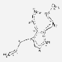 C=CCc1c[nH]c2nc(O)ncc12